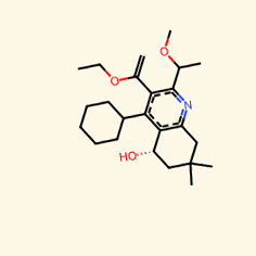 C=C(OCC)c1c(C(C)OC)nc2c(c1C1CCCCC1)[C@@H](O)CC(C)(C)C2